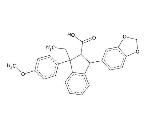 CCC1(c2ccc(OC)cc2)c2ccccc2C(c2ccc3c(c2)OCO3)C1C(=O)O